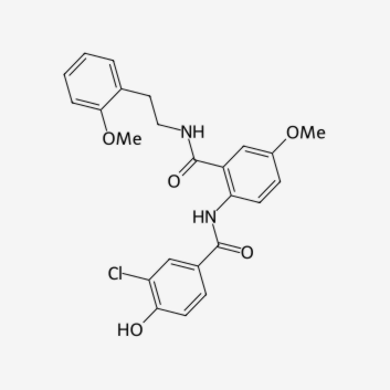 COc1ccc(NC(=O)c2ccc(O)c(Cl)c2)c(C(=O)NCCc2ccccc2OC)c1